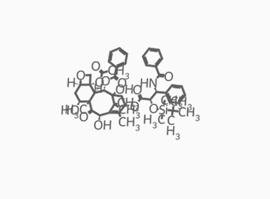 CC(=O)O[C@@]12CO[C@@H]1C[C@H](O)[C@@]1(C)C(=O)[C@H](O)C3=C(C)[C@@H](OC(=O)[C@H](O[Si](C)(C)C(C)(C)C)[C@@H](NC(=O)c4ccccc4)c4ccccc4)C[C@@](O)([C@@H](OC(=O)c4ccccc4)[C@H]21)C3(C)C